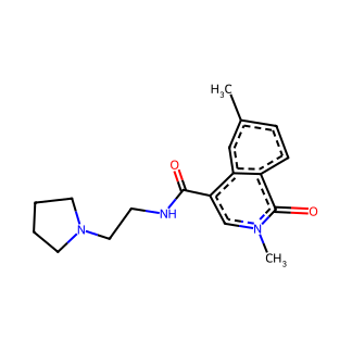 Cc1ccc2c(=O)n(C)cc(C(=O)NCCN3CCCC3)c2c1